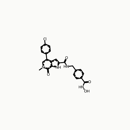 Cn1cc(-c2ccc(Cl)cc2)c2cc(C(=O)NCc3ccc(C(=O)NO)cc3)[nH]c2c1=O